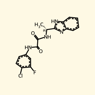 C[C@@H](NC(=O)C(=O)Nc1ccc(Cl)c(F)c1)c1nc2ccccc2[nH]1